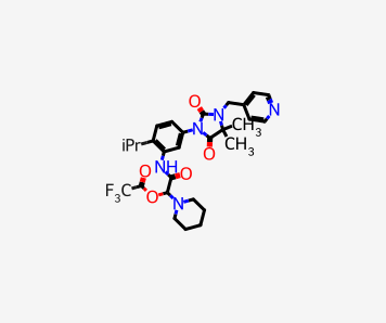 CC(C)c1ccc(N2C(=O)N(Cc3ccncc3)C(C)(C)C2=O)cc1NC(=O)C(OC(=O)C(F)(F)F)N1CCCCC1